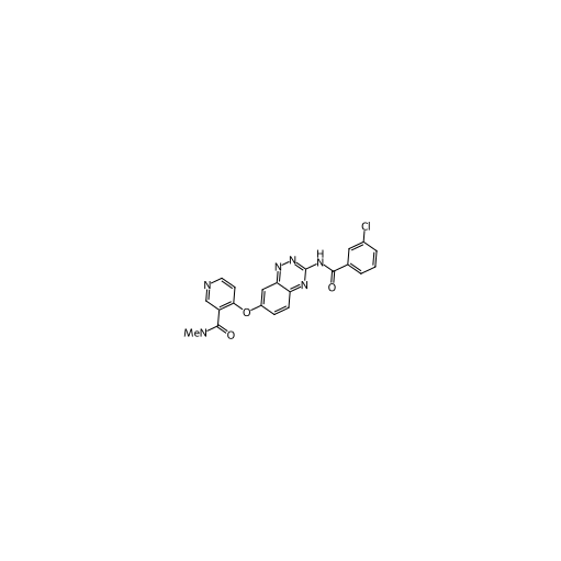 CNC(=O)c1cnccc1Oc1ccc2nc(NC(=O)c3cccc(Cl)c3)nnc2c1